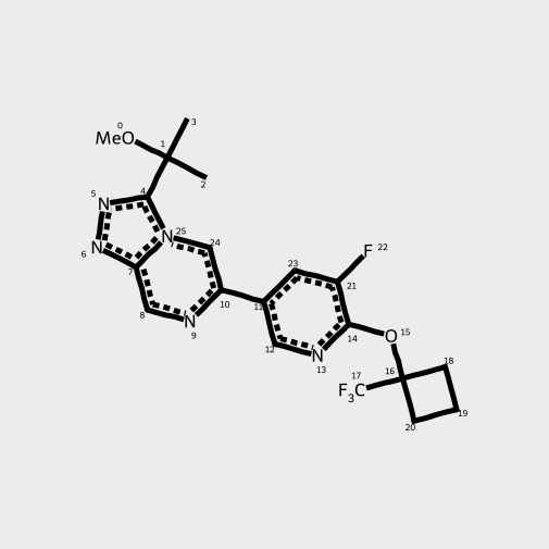 COC(C)(C)c1nnc2cnc(-c3cnc(OC4(C(F)(F)F)CCC4)c(F)c3)cn12